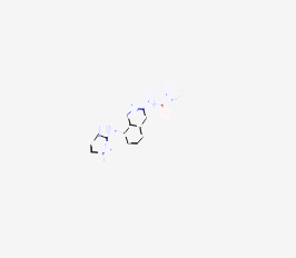 CCNC(=O)Nc1cc2cccc(Nc3cccc(C)n3)c2cn1